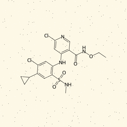 CCONC(=O)c1cnc(Cl)cc1Nc1cc(Cl)c(C2CC2)cc1S(=O)(=O)NC